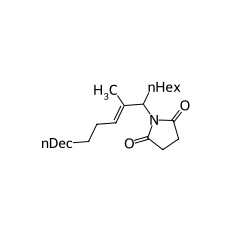 CCCCCCCCCCCCC=C(C)C(CCCCCC)N1C(=O)CCC1=O